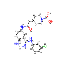 O=C(C=C1CCN(C(=O)O)CC1)Nc1ccc2c(c1)C(Nc1cccc(Cl)c1)=NCN2